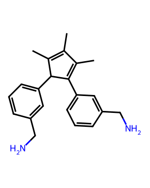 CC1=C(C)C(c2cccc(CN)c2)C(c2cccc(CN)c2)=C1C